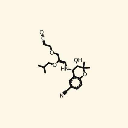 CC(C)COC(=CN[C@@H]1c2cc(C#N)ccc2OC(C)(C)[C@H]1O)COCC=C=O